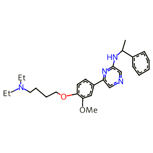 CCN(CC)CCCCOc1ccc(-c2cncc(NC(C)c3ccccc3)n2)cc1OC